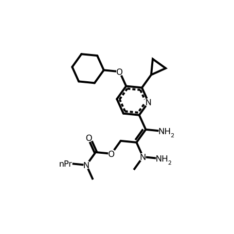 CCCN(C)C(=O)OC/C(=C(/N)c1ccc(OC2CCCCC2)c(C2CC2)n1)N(C)N